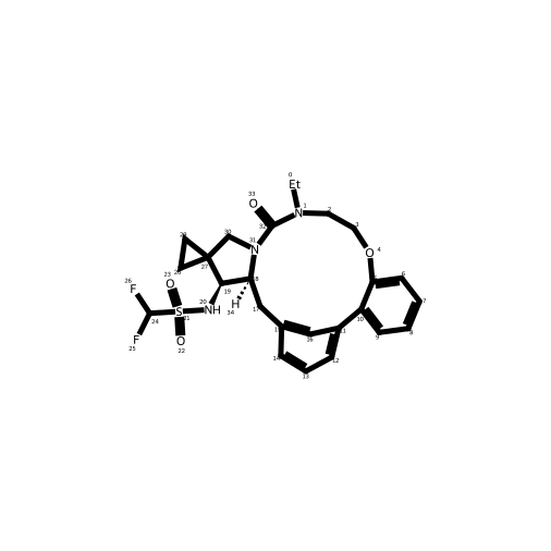 CCN1CCOc2ccccc2-c2cccc(c2)C[C@H]2[C@@H](NS(=O)(=O)C(F)F)C3(CC3)CN2C1=O